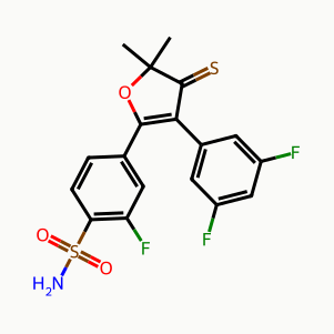 CC1(C)OC(c2ccc(S(N)(=O)=O)c(F)c2)=C(c2cc(F)cc(F)c2)C1=S